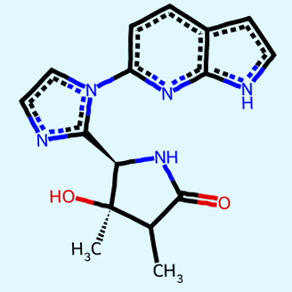 CC1C(=O)N[C@H](c2nccn2-c2ccc3cc[nH]c3n2)[C@]1(C)O